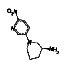 N[C@H]1CCCN(c2ccc([N+](=O)[O-])nc2)C1